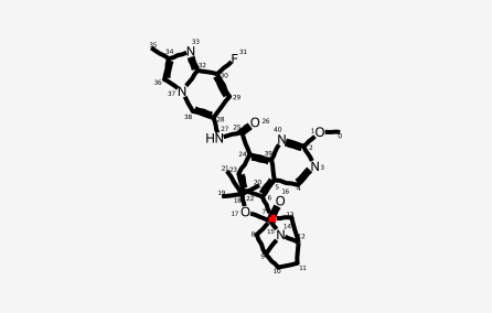 COc1ncc2c(N3CC4CCC(C3)N4C(=O)OC(C)(C)C)ccc(C(=O)Nc3cc(F)c4nc(C)cn4c3)c2n1